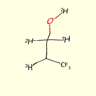 [2H]OC([2H])([2H])C([2H])C(F)(F)F